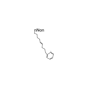 CCCCCCCCCCCCCC=CCCCc1[c]cccc1